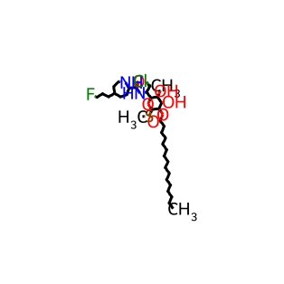 CCCCCCCCCCCCCCCC(=O)OC1C(SC)OC(C(NC(=O)C2CCC(CCCF)CCN2)C(C)Cl)C(O)C1O